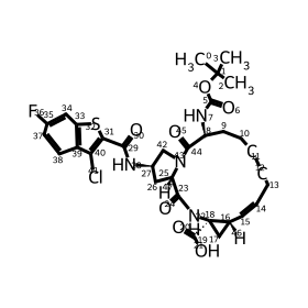 CC(C)(C)OC(=O)N[C@H]1CCCCC/C=C\[C@@H]2C[C@@]2(C(=O)O)NC(=O)[C@@H]2C[C@@H](NC(=O)c3sc4cc(F)ccc4c3Cl)CN2C1=O